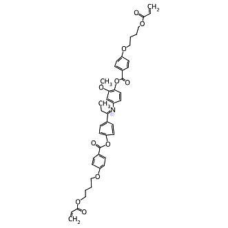 C=CC(=O)OCCCCOc1ccc(C(=O)Oc2ccc(/C(CC)=N/c3ccc(OC(=O)c4ccc(OCCCCOC(=O)C=C)cc4)c(OC)c3)cc2)cc1